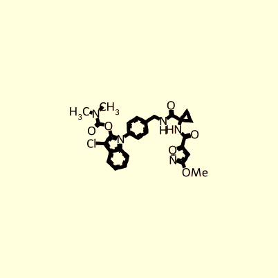 COc1cc(C(=O)NC2(C(=O)NCc3ccc(-n4c(OC(=O)N(C)C)c(Cl)c5ccccc54)cc3)CC2)on1